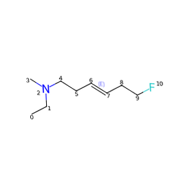 CCN(C)CC/C=C/CCF